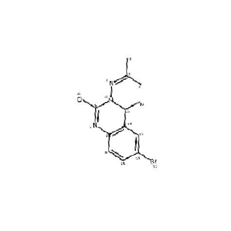 CC(C)=NN1C(Cl)=Nc2ccc(Br)cc2C1C